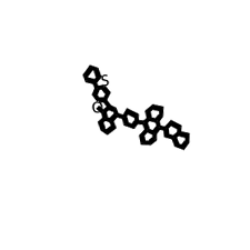 c1ccc2cc(-c3c4ccccc4c(-c4ccc(-c5cc6c7cc8sc9ccccc9c8cc7oc6c6ccccc56)cc4)c4ccccc34)ccc2c1